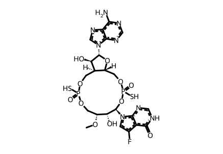 CO[C@@H]1COP(=O)(S)OC[C@H]2[C@@H](O)[C@H](n3cnc4c(N)ncnc43)O[C@@H]2COP(=O)(S)O[C@@H](n2cc(F)c3c(=O)[nH]cnc32)[C@@H]1O